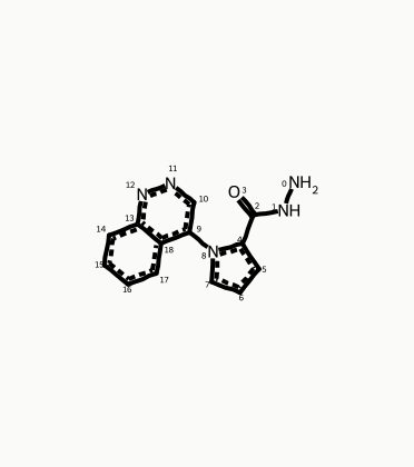 NNC(=O)c1cccn1-c1cnnc2ccccc12